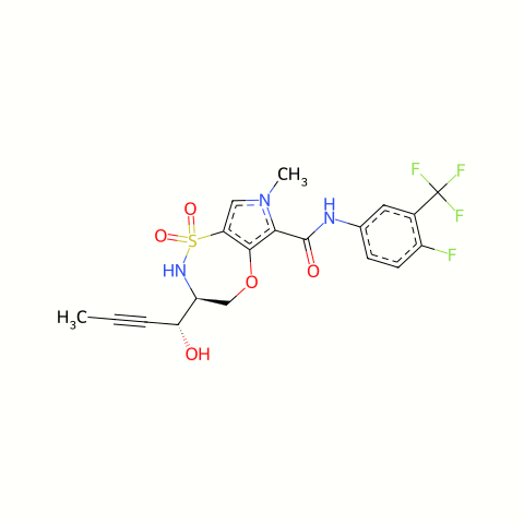 CC#C[C@@H](O)[C@@H]1COc2c(cn(C)c2C(=O)Nc2ccc(F)c(C(F)(F)F)c2)S(=O)(=O)N1